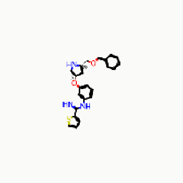 N=C(Nc1cccc(O[C@@H]2CN[C@H](COCc3ccccc3)C2)c1)c1cccs1